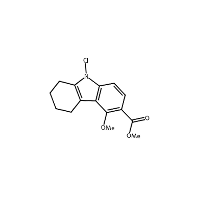 COC(=O)c1ccc2c(c3c(n2Cl)CCCC3)c1OC